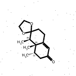 C[C@H]1CC(=O)C=C2CCC3(OCCO3)[C@H](C)[C@]21C